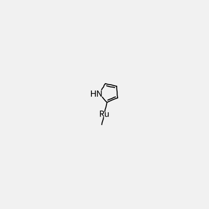 [CH3][Ru][c]1ccc[nH]1